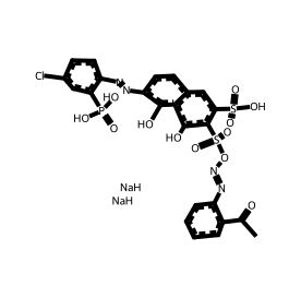 CC(=O)c1ccccc1N=NOS(=O)(=O)c1c(S(=O)(=O)O)cc2ccc(N=Nc3ccc(Cl)cc3P(=O)(O)O)c(O)c2c1O.[NaH].[NaH]